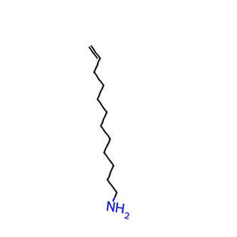 C=CCCCCCCCCCCN